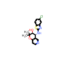 CC1(C)Oc2ccncc2[C@@H](Nc2nc3cc(Cl)ccc3s2)[C@@H]1O